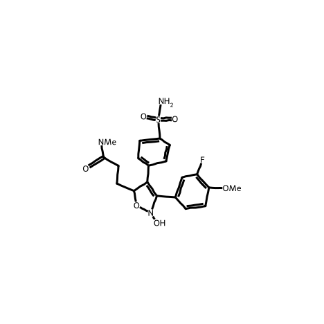 CNC(=O)CCC1ON(O)C(c2ccc(OC)c(F)c2)=C1c1ccc(S(N)(=O)=O)cc1